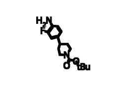 CC(C)(C)OC(=O)N1CCC(c2ccc(N)c(F)c2)CC1